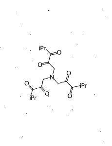 CC(C)C(=O)C(=O)CN(CC(=O)C(=O)C(C)C)CC(=O)C(=O)C(C)C